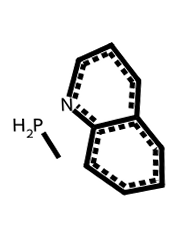 CP.c1ccc2ncccc2c1